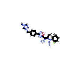 COC/C(=C(/N)c1nc(-c2ccc(CN3CN(C)C=N3)cc2)no1)N(N)c1ccccc1F